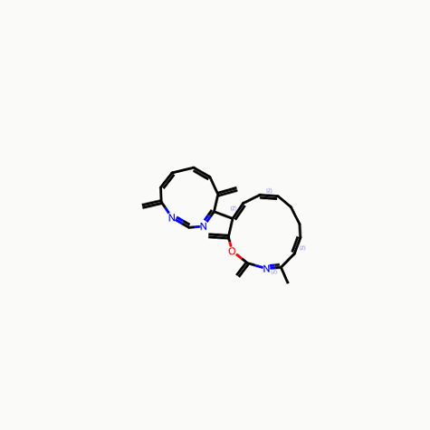 C=C1/N=C(C)\C=C/CC/C=C\C=C(\c2ncnc(=C)ccccc2=C)C(=C)O1